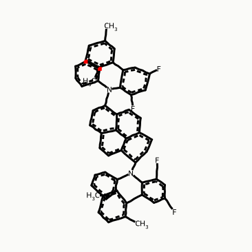 Cc1ccc(C)c(-c2cc(F)cc(F)c2N(c2ccccc2)c2ccc3ccc4c(N(c5ccccc5)c5c(F)cc(F)cc5-c5cc(C)ccc5C)ccc5ccc2c3c54)c1